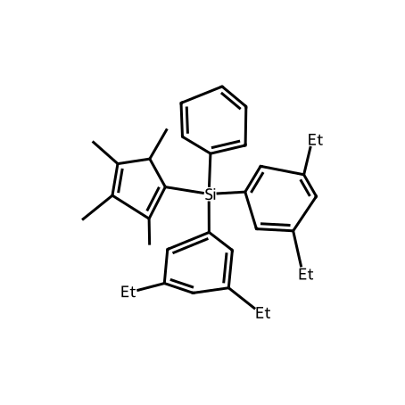 CCc1cc(CC)cc([Si](C2=C(C)C(C)=C(C)C2C)(c2ccccc2)c2cc(CC)cc(CC)c2)c1